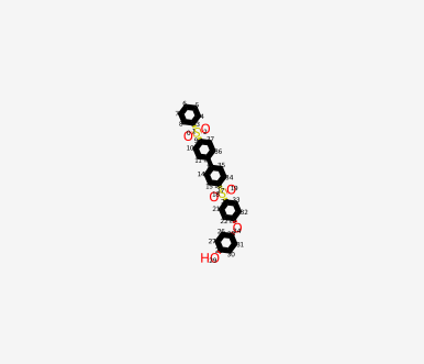 O=S(=O)(c1ccccc1)c1ccc(-c2ccc(S(=O)(=O)c3ccc(Oc4ccc(O)cc4)cc3)cc2)cc1